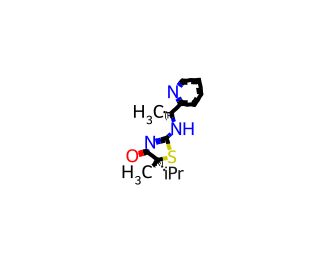 CC(C)[C@@]1(C)SC(N[C@H](C)c2ccccn2)=NC1=O